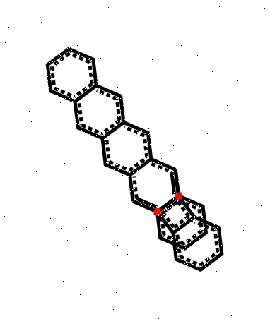 c1ccc2cc3cc4c(cc3cc2c1)c1c2ccccc2c4c2c3ccccc3c12